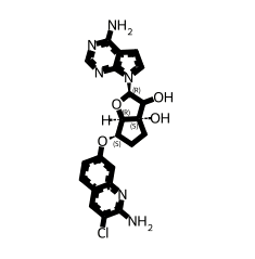 Nc1nc2cc(O[C@H]3CC[C@]4(O)C(O)[C@H](n5ccc6c(N)ncnc65)O[C@H]34)ccc2cc1Cl